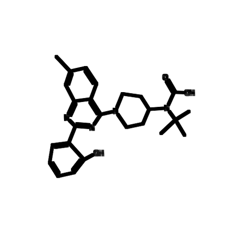 Cc1ccc2c(N3CCC(N(C(=O)O)C(C)(C)C)CC3)nc(-c3ccccc3O)nc2c1